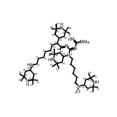 CCN(CCCCCCN(C(=N/C(=N)NC)/N=C(\C)C(CCCCCCNC1CC(C)(C)NC(C)(C)C1)C1CC(C)(C)NC(C)(C)C1)C1CC(C)(C)NC(C)(C)C1)C1CC(C)(C)NC(C)(C)C1